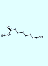 CCCCCCCCCCCCCCC(=O)OC(C)CC